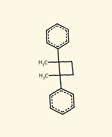 CC1(c2ccccc2)CCC1(C)c1ccccc1